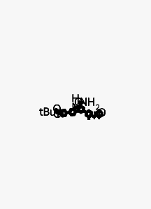 Cc1cc(-c2cc(C(N)=O)c3[nH]c4cc(C5CCN(OC(=O)C(C)(C)C)CC5)ccc4c3c2)ccc1CN1CCOCC1